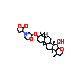 C[C@@H]1CCOC2C1C1(C)CCC34CC35CCC(OC3CN(C6CCOC6=O)CCO3)C(C)(C)[C@@H]5CCC4[C@]1(C)[C@H]2O